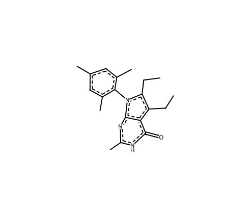 CCc1c(CC)n(-c2c(C)cc(C)cc2C)c2nc(C)[nH]c(=O)c12